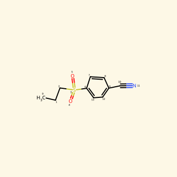 CCCS(=O)(=O)c1ccc(C#N)cc1